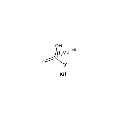 I.O=[N+]([O-])O.[KH].[MgH2]